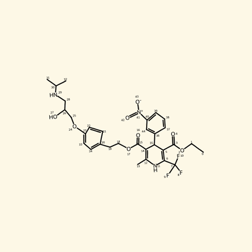 CCOC(=O)C1=C(C(F)(F)F)NC(C)=C(C(=O)OCCc2ccc(OCC(O)CNC(C)C)cc2)C1c1cccc([N+](=O)[O-])c1